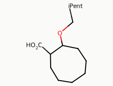 CCCC(C)COC1CCCCCCC1C(=O)O